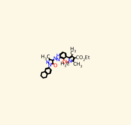 CCOC(=O)c1c(C)c(-c2cccc(N/N=C3\C(=O)N(c4ccc5c(c4)CCCC5)N=C3C)c2O)n(C)c1C